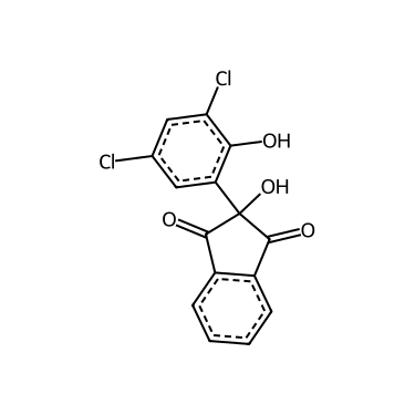 O=C1c2ccccc2C(=O)C1(O)c1cc(Cl)cc(Cl)c1O